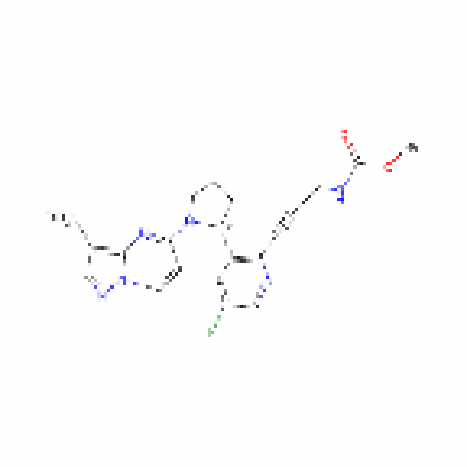 CCOC(=O)c1cnn2ccc(N3CCC[C@@H]3c3cc(F)cnc3C#CCNC(=O)OC(C)(C)C)nc12